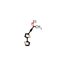 CCOC(C)C#Cc1ccc(-c2cccs2)s1